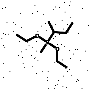 CCO[Si](C)(OCC)C(C)CC